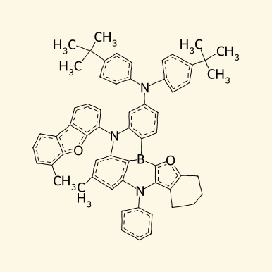 Cc1cc2c3c(c1)N(c1cccc4c1oc1c(C)cccc14)c1cc(N(c4ccc(C(C)(C)C)cc4)c4ccc(C(C)(C)C)cc4)ccc1B3c1oc3c(c1N2c1ccccc1)CCCC3